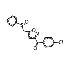 O=C(c1ccc(Cl)cc1)c1cc(C[S+]([O-])c2ccccc2)on1